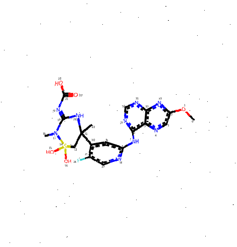 COc1cnc2c(Nc3cc(C4(C)CS(O)(O)N(C)C(=NC(=O)O)N4)c(F)cn3)ncnc2n1